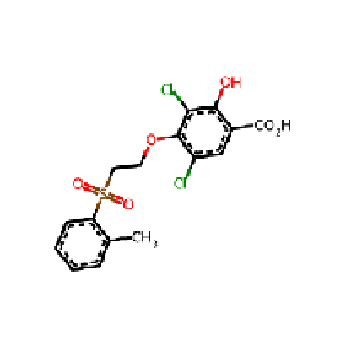 Cc1ccccc1S(=O)(=O)CCOc1c(Cl)cc(C(=O)O)c(O)c1Cl